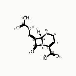 CC(=O)OC=C1C(=O)N2C(C(=O)O)=CCS[C@@H]12